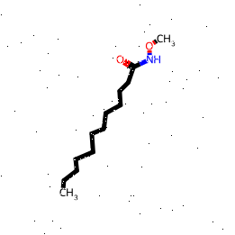 CCCCCCCCCCCC(=O)NOC